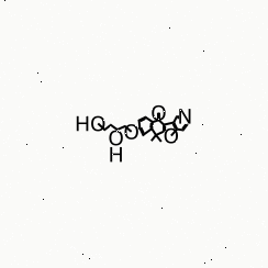 CC1(C)c2cc(OCC(O)CCO)ccc2C(=O)c2c1oc1ccncc21